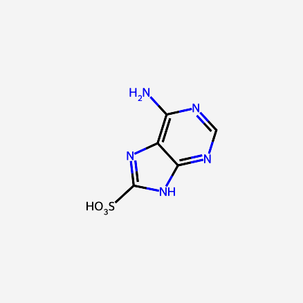 Nc1ncnc2[nH]c(S(=O)(=O)O)nc12